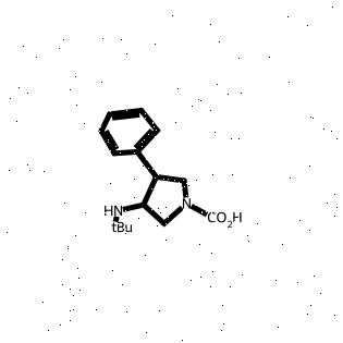 CC(C)(C)NC1CN(C(=O)O)CC1c1ccccc1